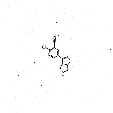 N#Cc1cc(C2=CCC3CNCC23)cnc1Cl